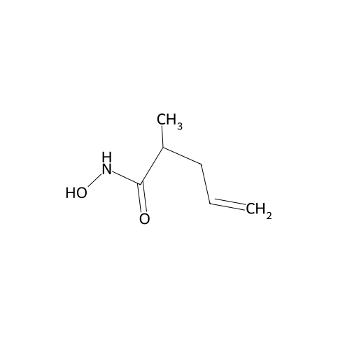 C=CCC(C)C(=O)NO